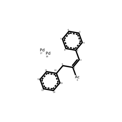 CC(=O)C(=Cc1ccccc1)Cc1ccccc1.[Pd].[Pd]